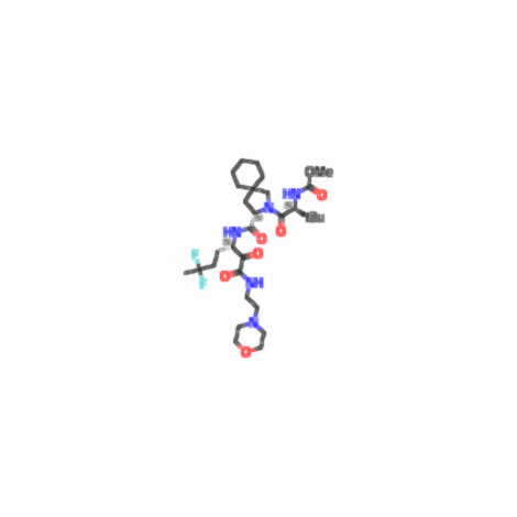 COC(=O)N[C@H](C(=O)N1CC2(CCCCC2)C[C@H]1C(=O)N[C@@H](CCC(C)(F)F)C(=O)C(=O)NCCN1CCOCC1)C(C)(C)C